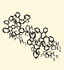 CC(C)(C)c1cc(N2c3cc4c(-c5ccccc5)c5ccccc5c(-c5ccccc5)c4cc3B3c4c2cc2c(oc5ccccc52)c4-c2cccc4c5cc(CC(C)(C)c6cc(N7c8cc9c(-c%10ccccc%10)c%10ccccc%10c(-c%10ccccc%10)c9cc8B8c9c7cc7oc%10ccccc%10c7c9-c7cccc9c%10ccccc%10n8c79)cc(C(C)(C)C)c6)ccc5n3c24)cc(C(C)(C)C)c1